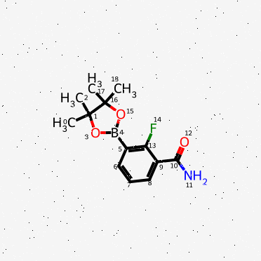 CC1(C)OB(c2cccc(C(N)=O)c2F)OC1(C)C